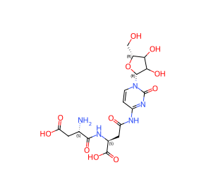 N[C@@H](CC(=O)O)C(=O)N[C@@H](CC(=O)Nc1ccn([C@@H]2O[C@H](CO)C(O)C2O)c(=O)n1)C(=O)O